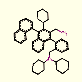 PCc1c(C2CCCCC2)c(-c2cccc3ccccc23)c2ccccc2c1-c1ccccc1CP(C1CCCCC1)C1CCCCC1